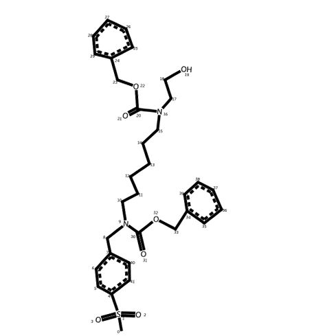 CS(=O)(=O)c1ccc(CN(CCCCCCN(CCO)C(=O)OCc2ccccc2)C(=O)OCc2ccccc2)cc1